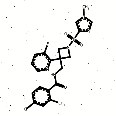 Cc1cc(Cl)ccc1C(=O)NCC1(c2ncccc2F)CN(S(=O)(=O)c2cn(C)cn2)C1